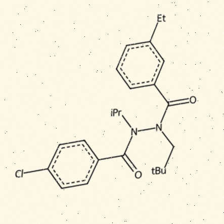 CCc1cccc(C(=O)N(CC(C)(C)C)N(C(=O)c2ccc(Cl)cc2)C(C)C)c1